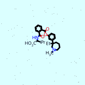 CCC1(c2cccc(OC(=O)c3ccccc3C(=O)N[C@H](C(=O)O)C(C)C)c2)CCCCN(C)C1